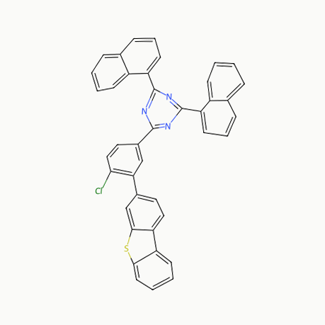 Clc1ccc(-c2nc(-c3cccc4ccccc34)nc(-c3cccc4ccccc34)n2)cc1-c1ccc2c(c1)sc1ccccc12